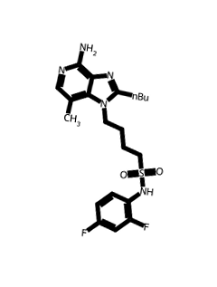 CCCCc1nc2c(N)ncc(C)c2n1CCCCS(=O)(=O)Nc1ccc(F)cc1F